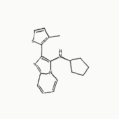 Cc1ccsc1-c1nc2ccccn2c1NC1CCCC1